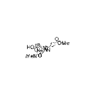 CNC(=O)[C@@H]1C[C@@H](O)CN1C(=O)[C@@H](n1cc(C2CCC(C(=O)OC)CC2)nn1)C(C)(C)C